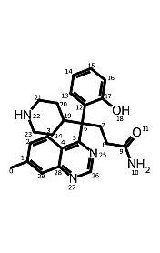 Cc1ccc2c(C(CCC(N)=O)(c3ccccc3O)C3CCNCC3)ncnc2c1